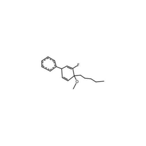 CCCCCC1(OC)C=CC(c2ccccc2)C=C1F